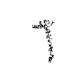 CC(C)(C)OC(=O)N1C[C@H](OCCOCCOCCOCCN=[N+]=[N-])C[C@H]1C(=O)O